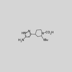 CC(C)(C)C1CC(c2cc(N)[nH]n2)CCN1C(=O)O